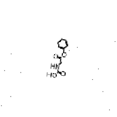 O=C(O)NCC(=O)Oc1ccccc1